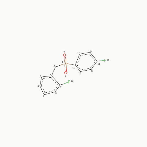 O=S(=O)(Cc1ccccc1F)c1ccc(F)cc1